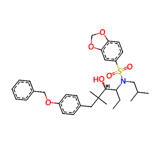 CCC([C@H](O)C(C)(C)Cc1ccc(OCc2ccccc2)cc1)N(CC(C)C)S(=O)(=O)c1ccc2c(c1)OCO2